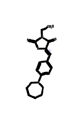 O=C(O)CN1C(=O)/C(=C/c2ccc(N3CCCCCC3)cc2)SC1=S